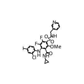 COc1c(C(=O)NC2CC2)c(Nc2ccc(I)cc2Cl)c(F)c(F)c1S(=O)(=O)NCc1cccnc1